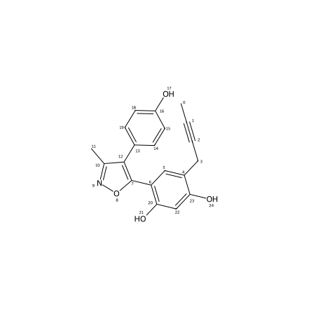 CC#CCc1cc(-c2onc(C)c2-c2ccc(O)cc2)c(O)cc1O